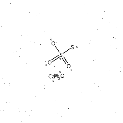 O.O=S(=O)([O-])[S-].[Ca+2]